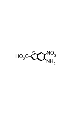 Nc1cc2cc(C(=O)O)sc2cc1[N+](=O)[O-]